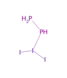 PPI(I)I